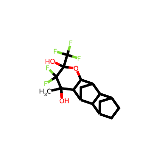 CC1(O)C2C3CC(C2OC(O)(C(F)(F)F)C1(F)F)C1C2CCC(C2)C31